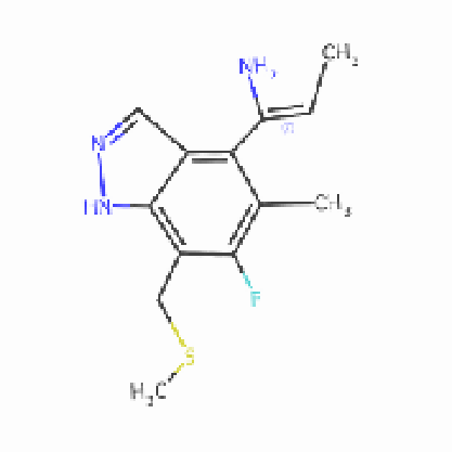 C/C=C(\N)c1c(C)c(F)c(CSC)c2[nH]ncc12